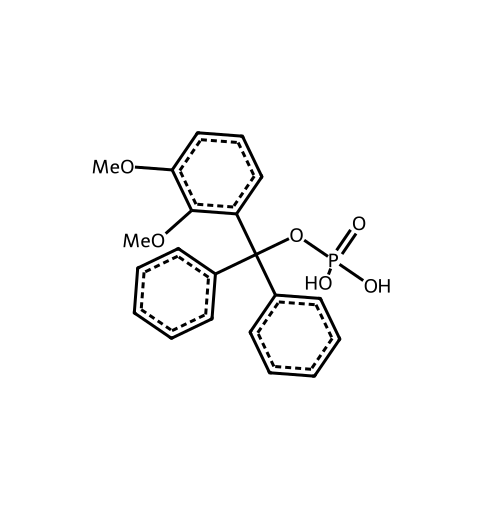 COc1cccc(C(OP(=O)(O)O)(c2ccccc2)c2ccccc2)c1OC